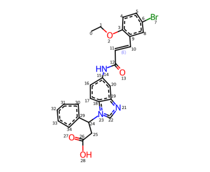 CCOc1ccc(Br)cc1/C=C/C(=O)Nc1ccc2c(c1)ncn2C(CC(=O)O)c1ccccc1